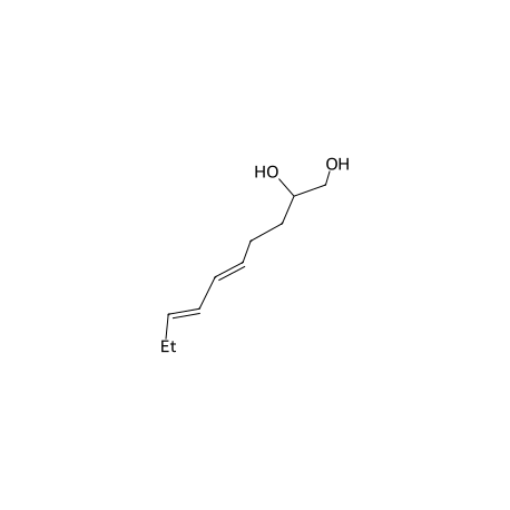 CCC=CC=CCCC(O)CO